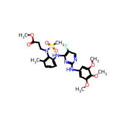 COC(=O)CCN(c1c(C)cccc1Nc1nc(Nc2cc(OC)c(OC)c(OC)c2)ncc1F)S(C)(=O)=O